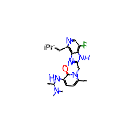 Cc1ccc(NC(C)N(C)C)c(=O)n1Cc1nc2c(CC(C)C)ncc(F)c2[nH]1